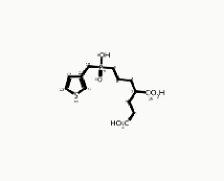 O=C(O)CCC(CCCP(=O)(O)Cc1ccsc1)C(=O)O